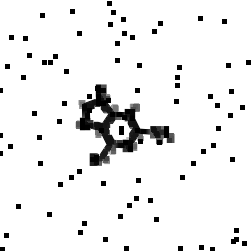 Nc1nc(Br)c2nc[nH]c2n1